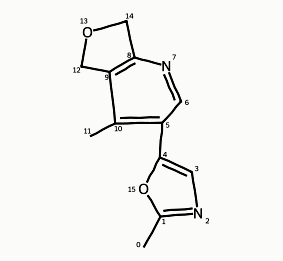 Cc1ncc(-c2cnc3c(c2C)COC3)o1